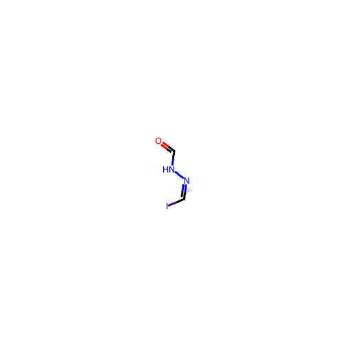 O=CN/N=C\I